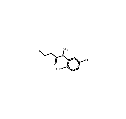 CN(C(=O)CCCl)c1cc(Br)ccc1[N+](=O)[O-]